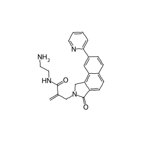 C=C(CN1Cc2c(ccc3ccc(-c4ccccn4)cc23)C1=O)C(=O)NCCN